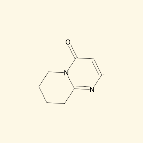 O=c1c[c]nc2n1CCCC2